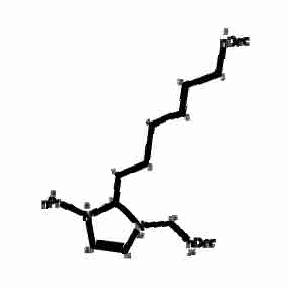 CCCCCCCCCCCCCCCCC1N(CCC)C=CN1CCCCCCCCCCC